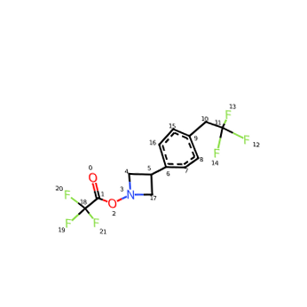 O=C(ON1CC(c2ccc(CC(F)(F)F)cc2)C1)C(F)(F)F